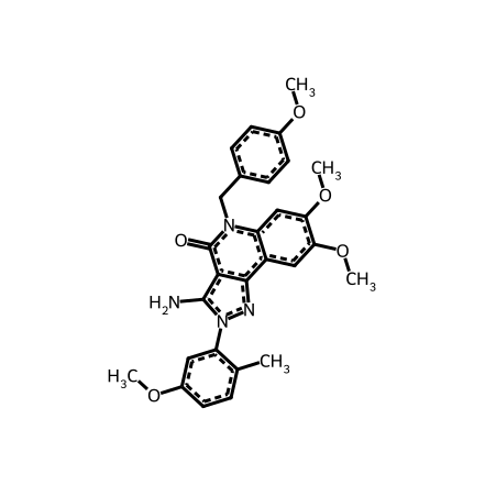 COc1ccc(Cn2c(=O)c3c(N)n(-c4cc(OC)ccc4C)nc3c3cc(OC)c(OC)cc32)cc1